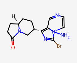 N[N+]12C=CN=CC1=C([C@H]1CC[C@@H]3CCC(=O)N3C1)N=C2Br